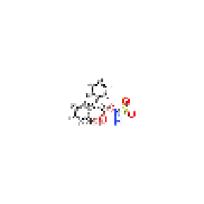 O=C(ON[SH](=O)=O)C(c1ccccc1)c1ccccc1Br